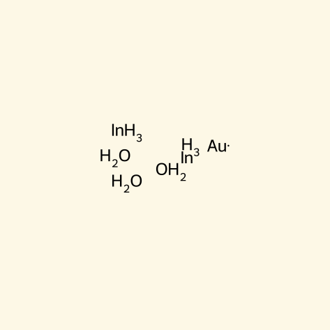 O.O.O.[Au].[InH3].[InH3]